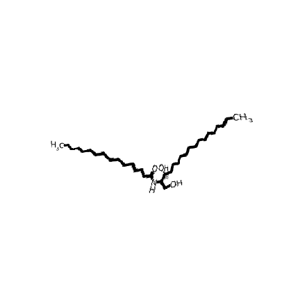 CCCCCCCCCCCCCCCC(=O)NC(CO)[C@H](O)CCCCCCCCCCCCCCC